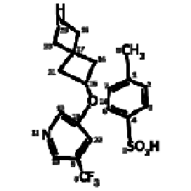 Cc1ccc(S(=O)(=O)O)cc1.FC(F)(F)c1cncc(OC2CC3(CNC3)C2)c1